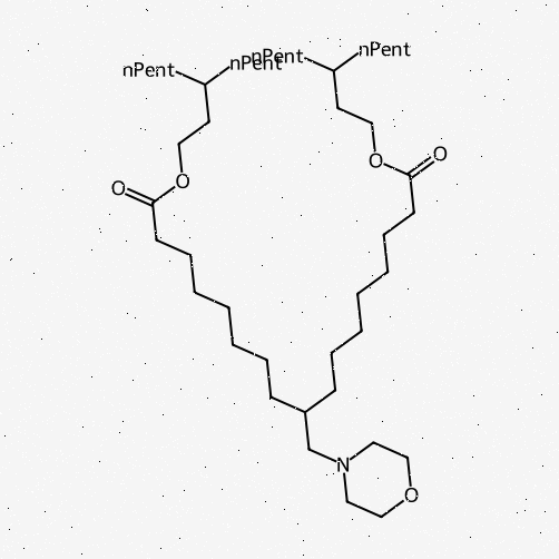 CCCCCC(CCCCC)CCOC(=O)CCCCCCCC(CCCCCCCC(=O)OCCC(CCCCC)CCCCC)CN1CCOCC1